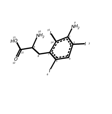 Nc1c(I)cc(I)c(CC(N)C(=O)O)c1I